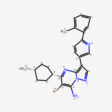 Cc1ccccc1-c1ccc(-c2cnn3c(N)c(Br)c([C@H]4CC[C@@H](C(=O)O)CC4)nc23)cn1